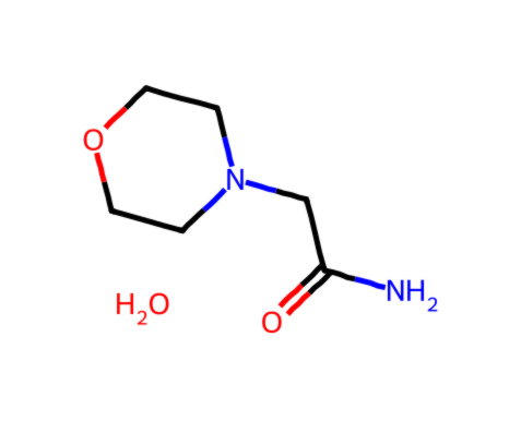 NC(=O)CN1CCOCC1.O